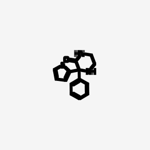 O=C1NCCNC1(c1ccccc1)c1cccs1